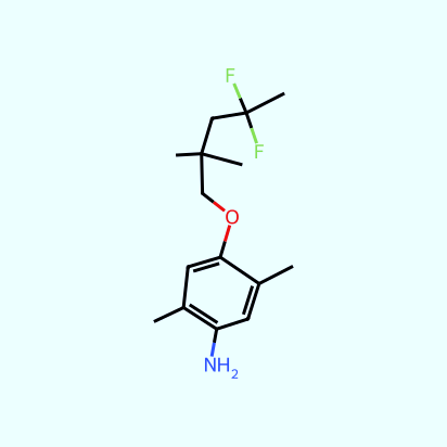 Cc1cc(OCC(C)(C)CC(C)(F)F)c(C)cc1N